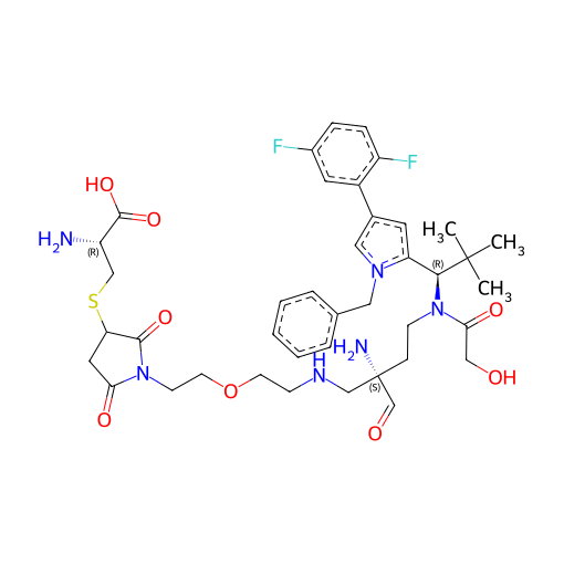 CC(C)(C)[C@H](c1cc(-c2cc(F)ccc2F)cn1Cc1ccccc1)N(CC[C@@](N)(C=O)CNCCOCCN1C(=O)CC(SC[C@H](N)C(=O)O)C1=O)C(=O)CO